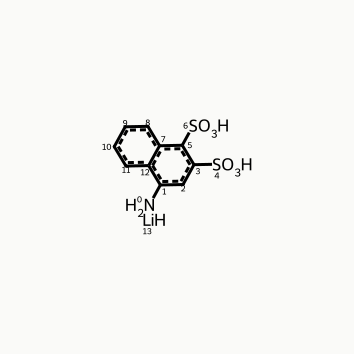 Nc1cc(S(=O)(=O)O)c(S(=O)(=O)O)c2ccccc12.[LiH]